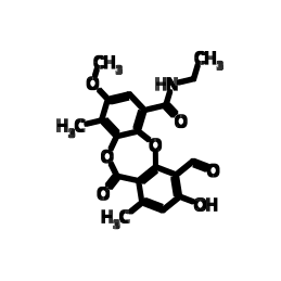 CCNC(=O)c1cc(OC)c(C)c2c1Oc1c(C=O)c(O)cc(C)c1C(=O)O2